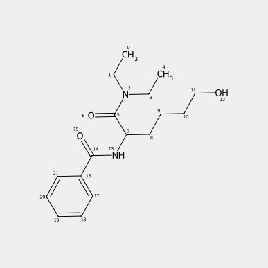 CCN(CC)C(=O)C(CCCCO)NC(=O)c1ccccc1